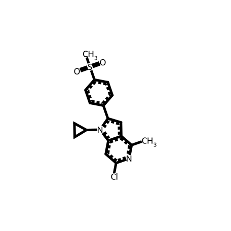 Cc1nc(Cl)cc2c1cc(-c1ccc(S(C)(=O)=O)cc1)n2C1CC1